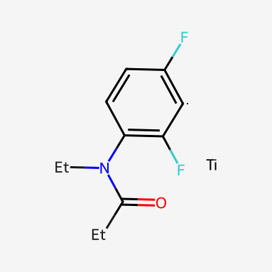 CCC(=O)N(CC)c1ccc(F)[c]c1F.[Ti]